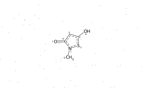 Cn1sc(O)cc1=O